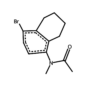 CC(=O)N(C)c1ccc(Br)c2c1CCCC2